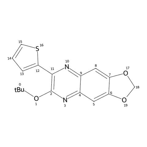 CC(C)(C)Oc1nc2cc3c(cc2nc1-c1cccs1)OCO3